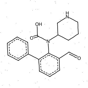 O=Cc1cccc(-c2ccccc2)c1N(C(=O)O)C1CCCNC1